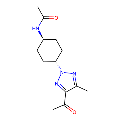 CC(=O)N[C@H]1CC[C@H](n2nc(C)c(C(C)=O)n2)CC1